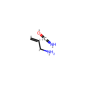 C=CCN.N=C=O